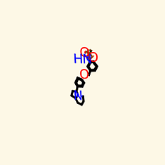 CS(=O)(=O)Nc1cccc(COc2ccc(C3CCC4CCCCN43)cc2)c1